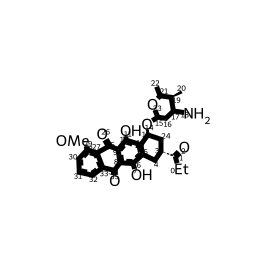 CCC(=O)[C@@H]1Cc2c(O)c3c(c(O)c2[C@@H](OC2CC(N)[C@H](C)C(C)O2)C1)C(=O)c1c(OC)cccc1C3=O